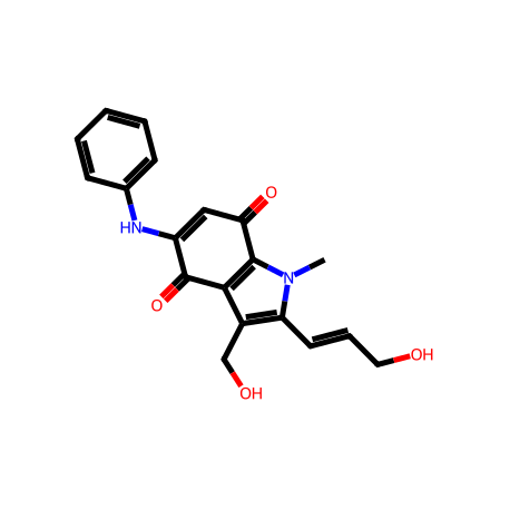 Cn1c(/C=C/CO)c(CO)c2c1C(=O)C=C(Nc1ccccc1)C2=O